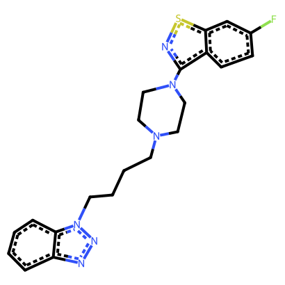 Fc1ccc2c(N3CCN(CCCCn4nnc5ccccc54)CC3)nsc2c1